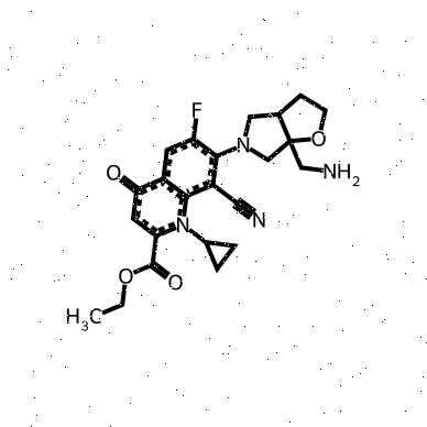 CCOC(=O)c1cc(=O)c2cc(F)c(N3CC4CCOC4(CN)C3)c(C#N)c2n1C1CC1